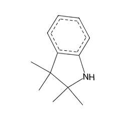 CC1(C)Nc2ccccc2C1(C)C